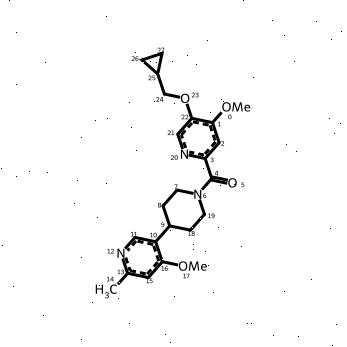 COc1cc(C(=O)N2CCC(c3cnc(C)cc3OC)CC2)ncc1OCC1CC1